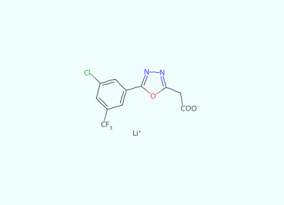 O=C([O-])Cc1nnc(-c2cc(Cl)cc(C(F)(F)F)c2)o1.[Li+]